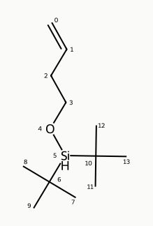 C=CCCO[SiH](C(C)(C)C)C(C)(C)C